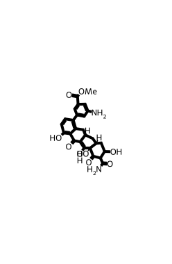 COC(=O)c1cc(N)cc(-c2ccc(O)c3c2C[C@H]2C[C@H]4CC(O)C(C(N)=O)C(=O)[C@@]4(O)C(O)=C2C3=O)c1